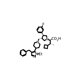 CCn1ncc(Cc2ccccc2)c1C1CCN(C[C@H]2CN([C@@H](C(=O)O)[C@H](C)C3CCC3)C[C@@H]2c2cccc(F)c2)CC1